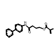 C=C(C)C(=O)OCCCC(=O)Nc1ccc(-c2ccccc2)cc1